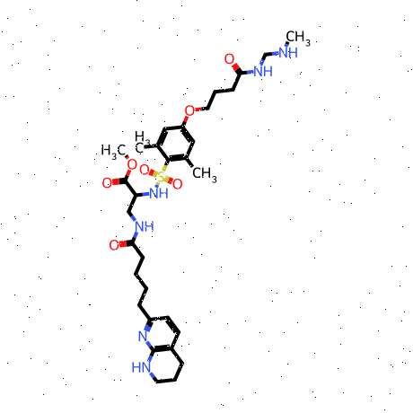 CNCNC(=O)CCCOc1cc(C)c(S(=O)(=O)NC(CNC(=O)CCCCc2ccc3c(n2)NCCC3)C(=O)OC)c(C)c1